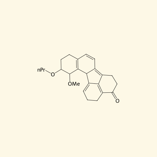 CCCOC1CCC2=C(C3C4=CCCC5=C4C(=C3C=C2)CCC5=O)C1OC